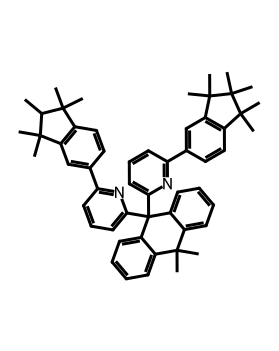 CC1C(C)(C)c2ccc(-c3cccc(C4(c5cccc(-c6ccc7c(c6)C(C)(C)C(C)(C)C7(C)C)n5)c5ccccc5C(C)(C)c5ccccc54)n3)cc2C1(C)C